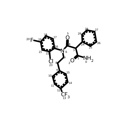 NC(=O)C(C(=O)N(CCc1ccc(C(F)(F)F)cc1)c1ccc(F)cc1Cl)c1ccccc1